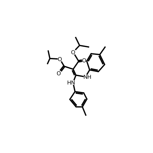 Cc1ccc(NC(Nc2ccc(C)cc2)=C(C(=O)OC(C)C)C(=O)OC(C)C)cc1